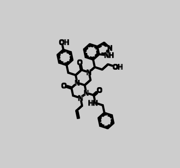 C=CCN1CC(=O)N2C(Cc3ccc(O)cc3)C(=O)N(C(CCO)c3cccc4cn[nH]c34)CC2N1C(=O)NCc1ccccc1